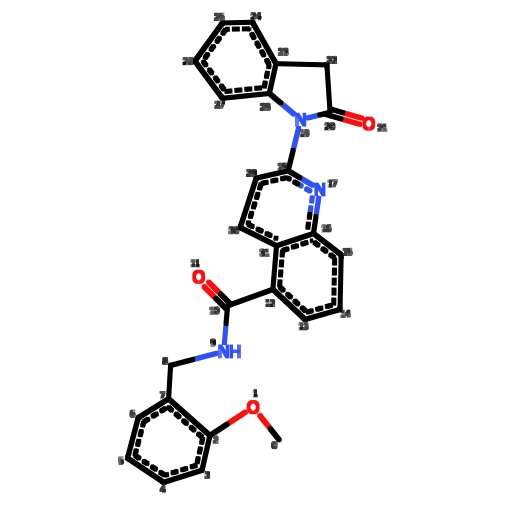 COc1ccccc1CNC(=O)c1cccc2nc(N3C(=O)Cc4ccccc43)ccc12